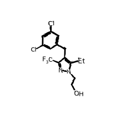 CCc1c(Cc2cc(Cl)cc(Cl)c2)c(C(F)(F)F)nn1CCO